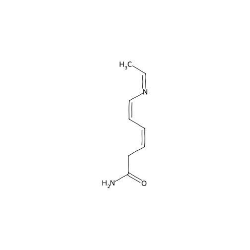 C\C=N/C=C\C=C/CC(N)=O